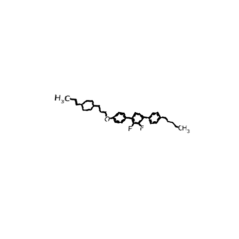 CCCCCc1ccc(-c2ccc(-c3ccc(OCCCC4CCC(CCC)CC4)cc3)c(F)c2F)cc1